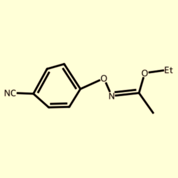 CCOC(C)=NOc1ccc(C#N)cc1